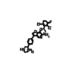 C[C@@H](Oc1c(N)ncc2c(-c3ccc(C4CNCCN4C=O)cc3)coc12)c1c(Cl)ccc(F)c1Cl